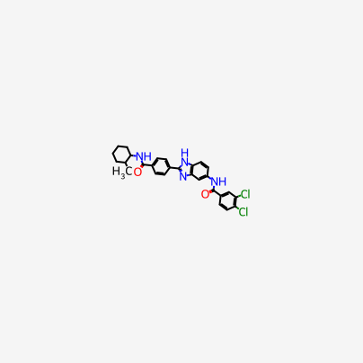 CC1CCCCC1NC(=O)c1ccc(-c2nc3cc(NC(=O)c4ccc(Cl)c(Cl)c4)ccc3[nH]2)cc1